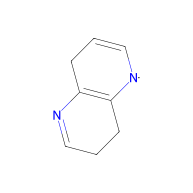 C1=C[N]C2=C(C1)N=CCC2